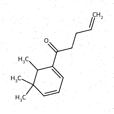 C=CCCC(=O)C1=CC=CC(C)(C)C1C